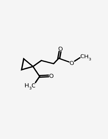 COC(=O)CCC1(C(C)=O)CC1